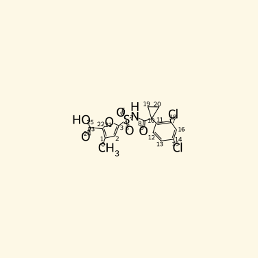 Cc1cc(S(=O)(=O)NC(=O)C2(c3ccc(Cl)cc3Cl)CC2)oc1C(=O)O